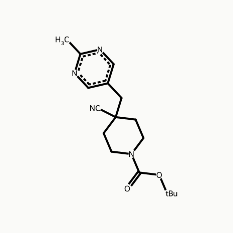 Cc1ncc(CC2(C#N)CCN(C(=O)OC(C)(C)C)CC2)cn1